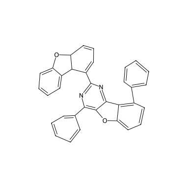 C1=CC2Oc3ccccc3C2C(c2nc(-c3ccccc3)c3oc4cccc(-c5ccccc5)c4c3n2)=C1